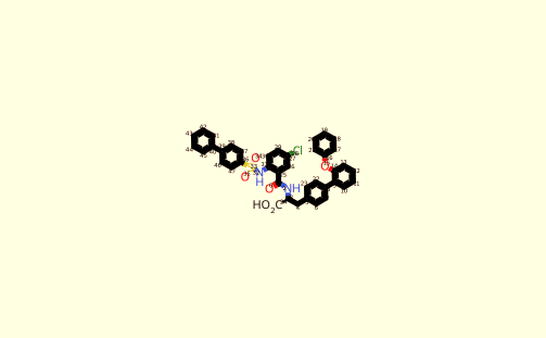 O=C(N[C@@H](Cc1ccc(-c2ccccc2Oc2ccccc2)cc1)C(=O)O)c1cc(Cl)ccc1NS(=O)(=O)c1ccc(-c2ccccc2)cc1